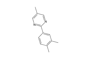 Cc1cnc(-c2ccc(C)c(C)c2)nc1